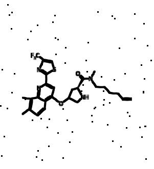 C=CCCCCN(C)C(=O)[C@@H]1CC(Oc2cc(-c3nc(C(F)(F)F)cs3)nc3c(C)c(C)ccc23)CN1